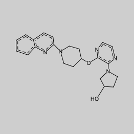 OC1CCN(c2nccnc2OC2CCN(c3ccc4ccccc4n3)CC2)C1